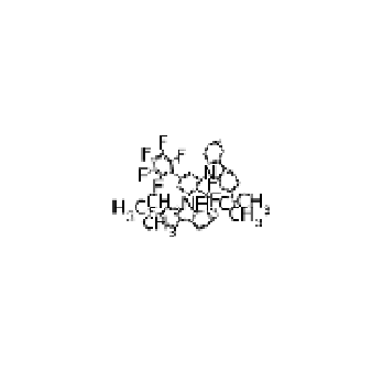 CC(C)(C)c1ccc2c3ccccc3n(-c3cc(-c4c(F)c(F)c(F)c(F)c4F)cc(-n4c5ccccc5c5ccc(C(C)(C)C)cc54)c3C(F)(F)F)c2c1